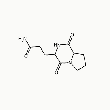 NC(=O)CCC1NC(=O)C2CCCN2C1=O